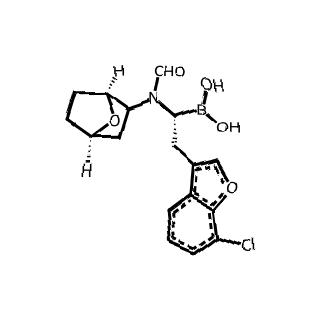 O=CN(C1C[C@H]2CC[C@@H]1O2)[C@@H](Cc1coc2c(Cl)cccc12)B(O)O